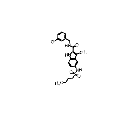 CCCCS(=O)(=O)Nc1ccc2[nH]c(C(=O)NCc3cccc(Cl)c3)c(C)c2c1